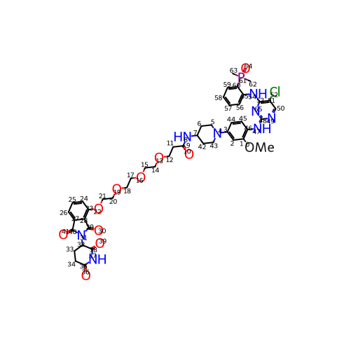 COc1cc(N2CCC(NC(=O)CCOCCOCCOCCOc3cccc4c3C(=O)N(C3CCC(=O)NC3=O)C4=O)CC2)ccc1Nc1ncc(Cl)c(Nc2ccccc2P(C)(C)=O)n1